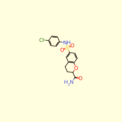 NC(=O)C1CCc2cc(S(=O)(=O)Nc3ccc(Cl)cc3)ccc2O1